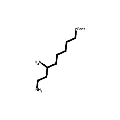 CCCCCCCCCCC(N)CCN